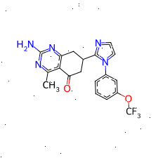 Cc1nc(N)nc2c1C(=O)CC(c1nccn1-c1cccc(OC(F)(F)F)c1)C2